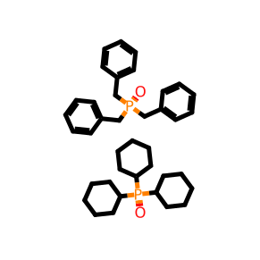 O=P(C1CCCCC1)(C1CCCCC1)C1CCCCC1.O=P(Cc1ccccc1)(Cc1ccccc1)Cc1ccccc1